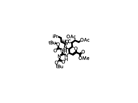 COC(=O)C1=C[C@H](N/C(=N\C(=O)OC(C)(C)C)NC(=O)OC(C)(C)C)[C@@H](NC(=O)CCC(C)C)[C@H]([C@H](C)[C@@H](COC(C)=O)OC(C)=O)O1